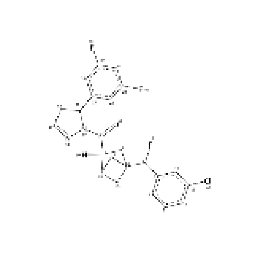 O=C([C@H]1CC2(C(F)c3cccc(Cl)c3)CC1C2)N1N=CCC1c1cc(F)cc(F)c1